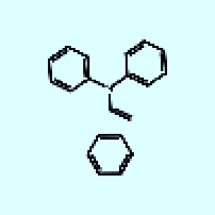 C=CN(c1ccccc1)c1ccccc1.c1ccccc1